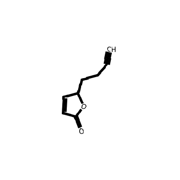 C#CCCC1C=CC(=O)O1